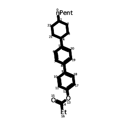 CCCCCC1CCC(c2ccc(-c3ccc(OC(=O)CC)cc3)cc2)CC1